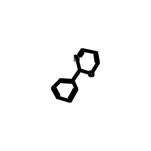 C1=COC(c2ccccc2)N=C1